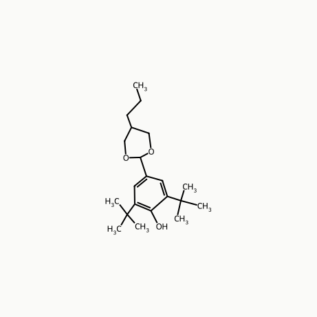 CCCC1COC(c2cc(C(C)(C)C)c(O)c(C(C)(C)C)c2)OC1